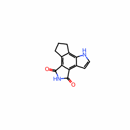 O=C1NC(=O)c2c1c1c(c3[nH]ccc23)CCC1